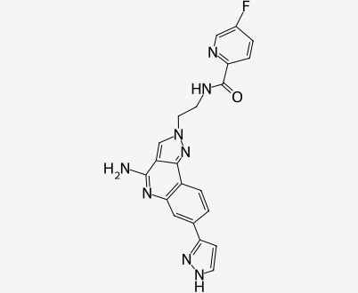 Nc1nc2cc(-c3cc[nH]n3)ccc2c2nn(CCNC(=O)c3ccc(F)cn3)cc12